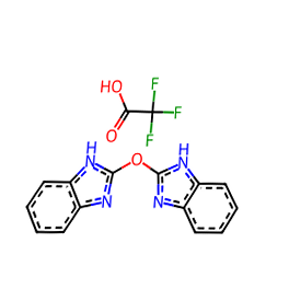 O=C(O)C(F)(F)F.c1ccc2[nH]c(Oc3nc4ccccc4[nH]3)nc2c1